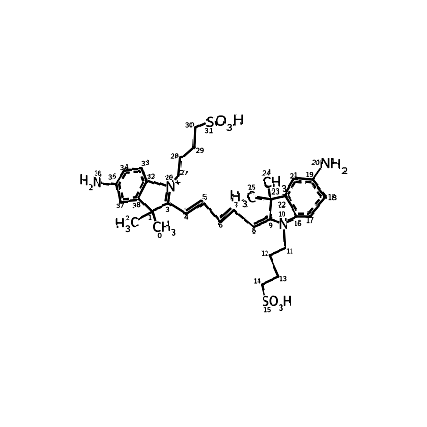 CC1(C)C(/C=C/C=C/C=C2/N(CCCCS(=O)(=O)O)c3ccc(N)cc3C2(C)C)=[N+](CCCCS(=O)(=O)O)c2ccc(N)cc21